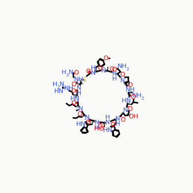 CCCC[C@H]1C(=O)N(C)[C@@H](CCCC)C(=O)N[C@@H](CCCNC(=N)N)C(=O)N[C@H](C(=O)NCC(N)=O)CSCC(=O)N[C@@H](Cc2ccc(OC)cc2)C(=O)N(C)[C@@H](C)C(=O)NC(CC(N)=O)C(=O)N2CCC[C@H]2C(=O)N[C@@H](CN)C(=O)N[C@@H](CC(C)C)C(=O)N2C[C@H](O)CC2C(=O)N[C@@H](Cc2c[nH]c3ccccc23)C(=O)N[C@@H](CO)C(=O)N[C@@H](Cc2c[nH]c3ccccc23)C(=O)N1C